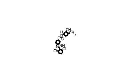 Cc1ccc(NC(=O)Oc2ccc3nc(-c4c(Cl)cccc4Cl)[nH]c3c2)cc1C